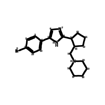 Brc1ccc(-c2cnc(C3CCCC3CN3CCCCC3)[nH]2)cc1